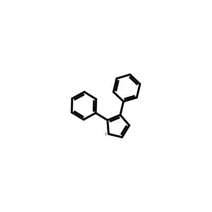 [C]1C=CC(c2ccccc2)=C1c1ccccc1